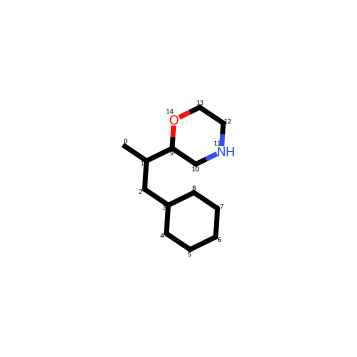 CC(CC1CCCCC1)C1CNCCO1